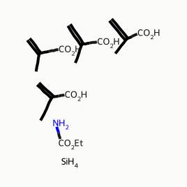 C=C(C)C(=O)O.C=C(C)C(=O)O.C=C(C)C(=O)O.C=C(C)C(=O)O.CCOC(N)=O.[SiH4]